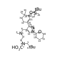 CN(CCN(CC(C)(C)C)C(=O)O)Cc1cn(C2CCCCO2)nc1C1=C[C@@H](O[Si](C)(C)C(C)(C)C)C(C)(C)CC1